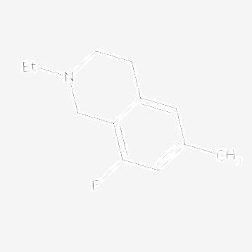 CCN1CCc2cc(C)cc(F)c2C1